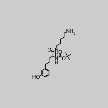 CC(C)(C)OC(=O)NC(CCCc1cccc(O)c1)C(=O)NCCCCCN